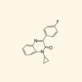 O=c1c(-c2ccc(F)cc2)nc2ccccc2n1C1CC1